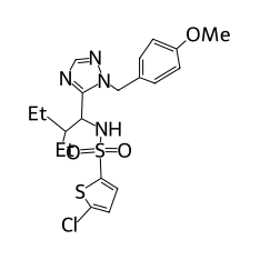 CCC(CC)C(NS(=O)(=O)c1ccc(Cl)s1)c1ncnn1Cc1ccc(OC)cc1